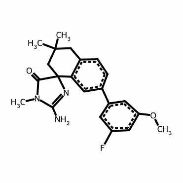 COc1cc(F)cc(-c2ccc3c(c2)C2(CC(C)(C)C3)N=C(N)N(C)C2=O)c1